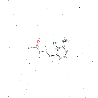 CC(C)COc1cccc(CCCC(=O)C(C)C)c1F